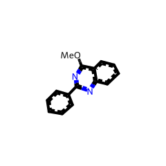 [CH2-][OH+]c1nc(-c2ccccc2)nc2ccccc12